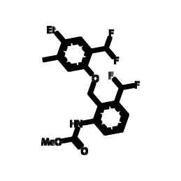 CCc1cc(C(F)F)c(OCc2c(NC(=O)OC)cccc2C(F)F)cc1C